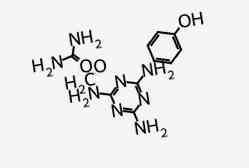 C=O.NC(N)=O.Nc1nc(N)nc(N)n1.Oc1ccccc1